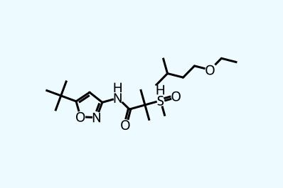 CCOCCC(C)C[SH](C)(=O)C(C)(C)C(=O)Nc1cc(C(C)(C)C)on1